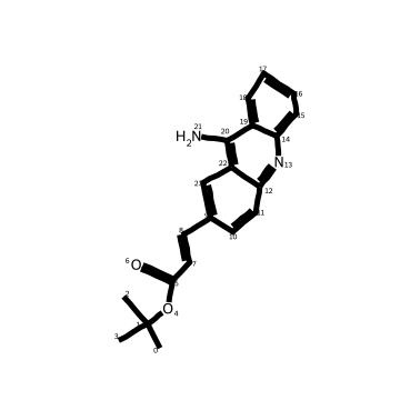 CC(C)(C)OC(=O)/C=C/c1ccc2nc3ccccc3c(N)c2c1